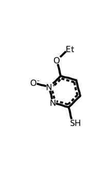 CCOc1ccc(S)n[n+]1[O-]